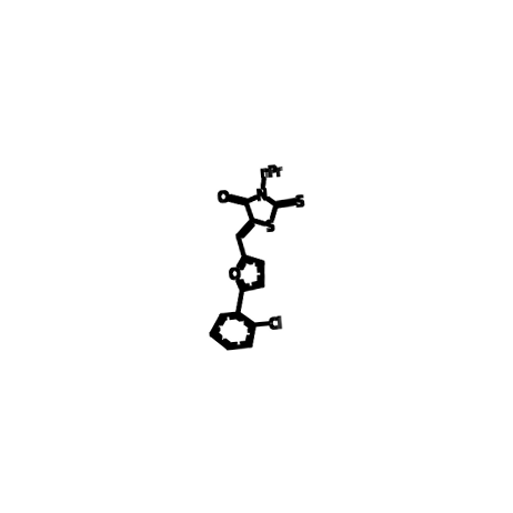 CCCN1C(=O)C(=Cc2ccc(-c3ccccc3Cl)o2)SC1=S